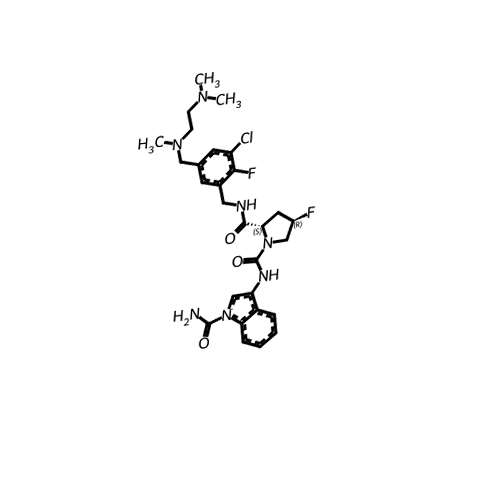 CN(C)CCN(C)Cc1cc(Cl)c(F)c(CNC(=O)[C@@H]2C[C@@H](F)CN2C(=O)Nc2cn(C(N)=O)c3ccccc23)c1